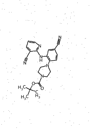 CC(C)(C)OC(=O)N1CCN(c2ccc(C#N)cc2Nc2ncccc2C#N)CC1